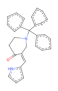 O=C1CCN(C(c2ccccc2)(c2ccccc2)c2ccccc2)CC1=Cc1ccc[nH]1